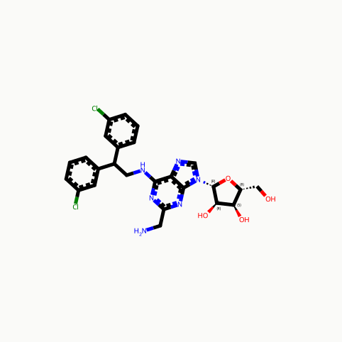 NCc1nc(NCC(c2cccc(Cl)c2)c2cccc(Cl)c2)c2ncn([C@@H]3O[C@H](CO)[C@@H](O)[C@H]3O)c2n1